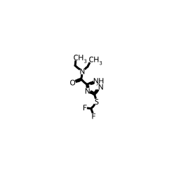 CCN(CC)C(=O)c1nc(SC(F)F)n[nH]1